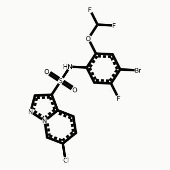 O=S(=O)(Nc1cc(F)c(Br)cc1OC(F)F)c1cnn2cc(Cl)ccc12